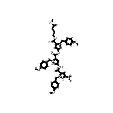 COC(=O)CCCNC(=O)c1cc(NC(=O)c2cc(NC(=O)c3cc([N+](=O)[O-])nn3Cc3ccc(OC)cc3)nn2Cc2ccc(OC)cc2)nn1Cc1ccc(OC)cc1